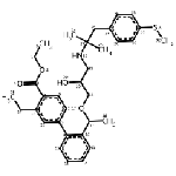 CCOC(=O)c1ccc(-c2ccccc2C(C)OCC(O)CNC(C)(C)Cc2ccc(SC)cc2)cc1CC